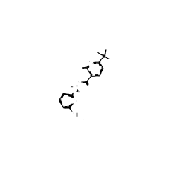 CC(C)(C)c1ccc(C(=O)NS(=O)(=O)c2cccc(N)n2)c(F)n1